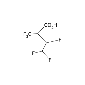 O=C(O)C(C(F)C(F)F)C(F)(F)F